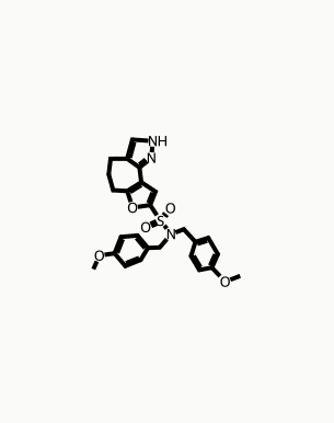 COc1ccc(CN(Cc2ccc(OC)cc2)S(=O)(=O)c2cc3c(o2)CCCc2c[nH]nc2-3)cc1